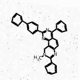 CN1Cc2c(ccc3c(-c4ccccc4)nc(-c4ccc(-c5ccccc5)cc4)nc23)N=C1c1ccccc1